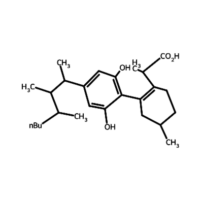 CCCCC(C)C(C)C(C)c1cc(O)c(C2=C(C(C)C(=O)O)CCC(C)C2)c(O)c1